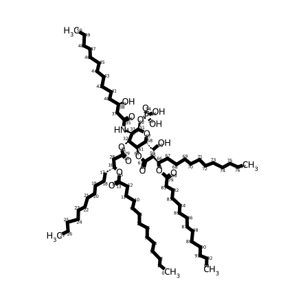 CCCCCCCCCCCCCC(=O)O[C@H](CCCCCCCCCCC)CC(=O)O[C@@H]1[C@@H](NC(=O)C[C@H](O)CCCCCCCCCCC)[C@@H](OP(=O)(O)O)O[C@H](CO)[C@H]1OC(=O)C[C@@H](CCCCCCCCCCC)OC(=O)CCCCCCCCCCCCC